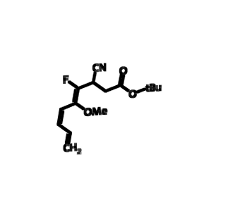 C=C/C=C\C(OC)=C(/F)C(C#N)CC(=O)OC(C)(C)C